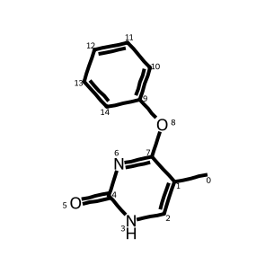 Cc1c[nH]c(=O)nc1Oc1ccccc1